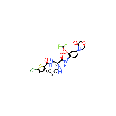 CCOC(=O)N[C@@H](CNC(=O)c1ccc(Cl)s1)C(=O)Nc1ccc(N2CCOCC2=O)cc1OC(F)F